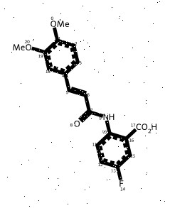 COc1ccc(/C=C/C(=O)Nc2ccc(F)cc2C(=O)O)cc1OC